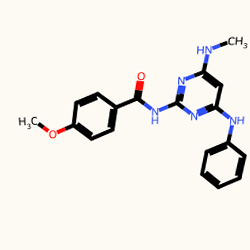 CNc1cc(Nc2ccccc2)nc(NC(=O)c2ccc(OC)cc2)n1